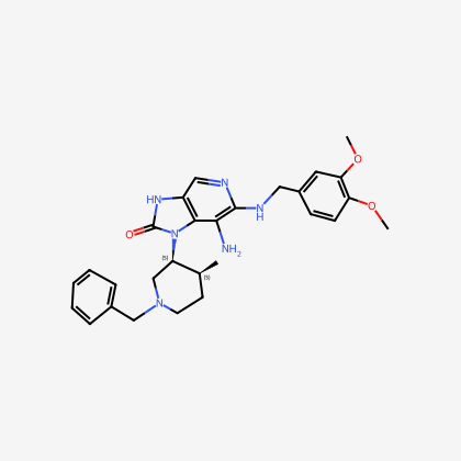 COc1ccc(CNc2ncc3[nH]c(=O)n([C@@H]4CN(Cc5ccccc5)CC[C@@H]4C)c3c2N)cc1OC